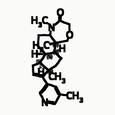 Cc1cncc(C2=CC[C@H]3[C@@H]4CCC5N(C)C(=O)COC[C@]5(C)[C@H]4CC[C@]23C)c1